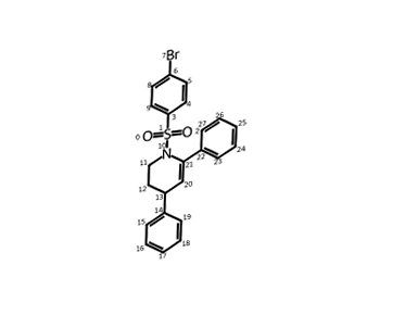 O=S(=O)(c1ccc(Br)cc1)N1CCC(c2ccccc2)C=C1c1ccccc1